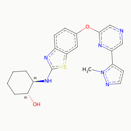 Cn1nccc1-c1cncc(Oc2ccc3nc(N[C@@H]4CCCC[C@H]4O)sc3c2)n1